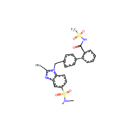 CCCCc1nc2cc(S(=O)(=O)N(C)C)ccc2n1Cc1ccc(-c2ccccc2C(=O)NS(=O)(=O)C(F)(F)F)cc1